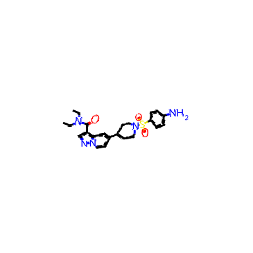 CCN(CC)C(=O)c1cnn2ccc(C3CCN(S(=O)(=O)c4ccc(N)cc4)CC3)cc12